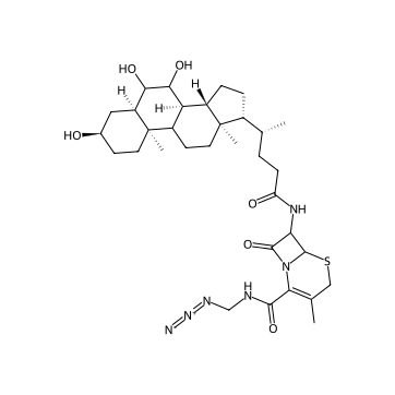 CC1=C(C(=O)NCN=[N+]=[N-])N2C(=O)C(NC(=O)CC[C@@H](C)[C@H]3CC[C@H]4[C@@H]5C(O)C(O)[C@@H]6C[C@H](O)CC[C@]6(C)C5CC[C@]34C)C2SC1